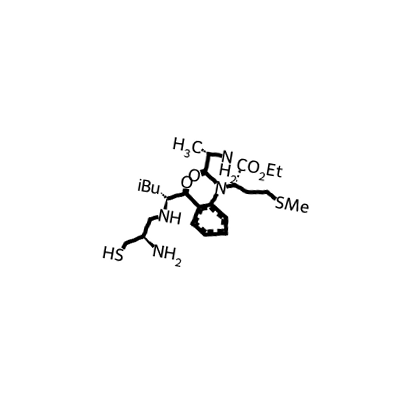 CCOC(=O)[C@H](CCSC)N(C(=O)[C@H](C)N)c1ccccc1C(=O)[C@@H](NC[C@@H](N)CS)[C@@H](C)CC